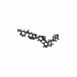 CCc1cc(N(C)c2cnc3[nH]c(-c4ccc(Nc5ccnc6ccc(N7CC8(COC8)C7)cc56)nc4)nc3c2)ccn1